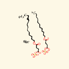 CCCCCCCCCCCCOC(=O)CCC(=O)OS(=O)(=O)[O-].CCCCCCCCCCCCOC(=O)CCC(=O)OS(=O)(=O)[O-].[Na+].[Na+]